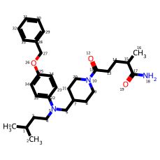 CC(C)CCN(CC1CCN(C(=O)[CH]CC(C)C(N)=O)CC1)c1ccc(OCc2ccccc2)cc1